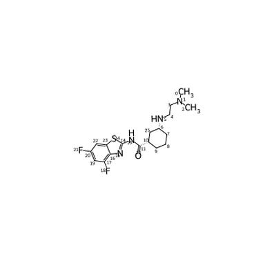 CN(C)CCN[C@@H]1CCC[C@H](C(=O)Nc2nc3c(F)cc(F)cc3s2)C1